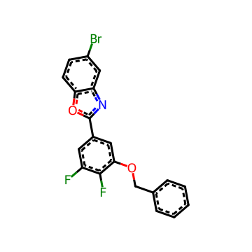 Fc1cc(-c2nc3cc(Br)ccc3o2)cc(OCc2ccccc2)c1F